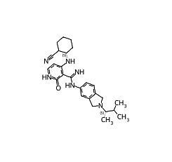 CC(C)[C@H](C)N1Cc2ccc(NC(=N)c3c(N[C@H]4CCCCC4C#N)cc[nH]c3=O)cc2C1